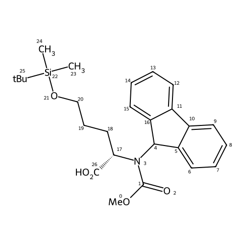 COC(=O)N(C1c2ccccc2-c2ccccc21)[C@@H](CCCO[Si](C)(C)C(C)(C)C)C(=O)O